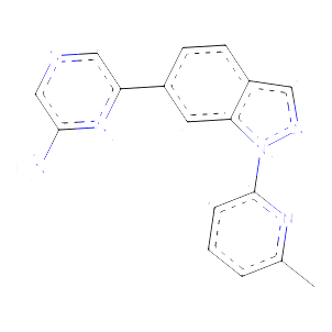 Cc1cccc(-n2ncc3ccc(-c4cncc(N)n4)cc32)n1